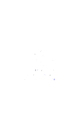 CC(C)C(=O)Nc1nc(N)nc2ccc3c(c12)C=CC3